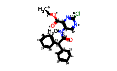 CCOC(=O)c1nc(Cl)ncc1N(C)C(=O)C(c1ccccc1)c1ccccc1